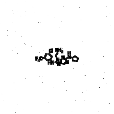 NCCn1c(Nc2cc(Cl)cc(C(F)(F)F)c2)nc2cnc(NC3CCCC3)nc21